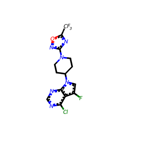 Fc1cn(C2CCN(c3noc(C(F)(F)F)n3)CC2)c2ncnc(Cl)c12